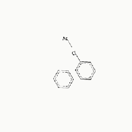 CC(C)=O.Clc1ccccc1.c1ccccc1